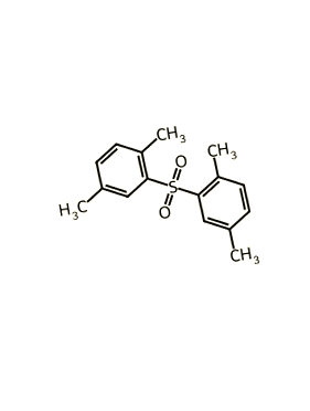 Cc1ccc(C)c(S(=O)(=O)c2cc(C)ccc2C)c1